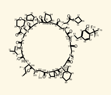 CC[C@H](C)[C@@H]1NC(=O)[C@H](CC(C)C)N(C)C(=O)C[C@@H](C(=O)N2CCOCC2)N(C)C(=O)[C@H](C2CCCC2)N(C)C(=O)C2(CCCC2)NC(=O)[C@H](CCC(=O)N2CCC2)N(C)C(=O)[C@H](CCc2ccc(C(F)(F)F)c(Cl)c2)NC(=O)CN(C)C(=O)[C@H](CC2CCCCC2)N(C)C(=O)[C@@H]2CCN2C(=O)[C@H](C)N(C)C1=O